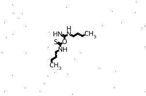 CCCCNC(=N)OC(=S)NCCCC